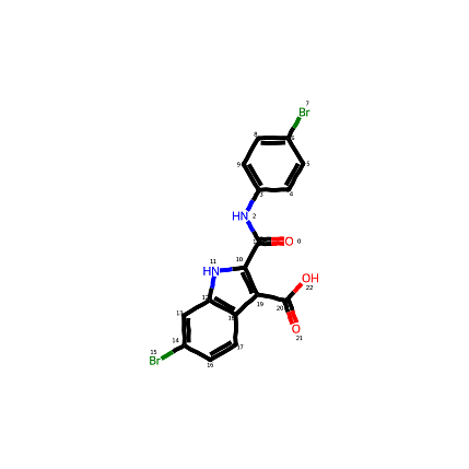 O=C(Nc1ccc(Br)cc1)c1[nH]c2cc(Br)ccc2c1C(=O)O